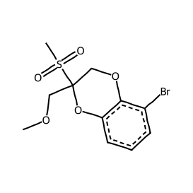 COCC1(S(C)(=O)=O)COc2c(Br)cccc2O1